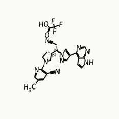 Cc1cnc(N2CC[C@H]([C@H](CC#N)n3cc(-c4ncnc5[nH]ccc45)cn3)C2)c(C#N)c1.O=C(O)C(F)(F)F